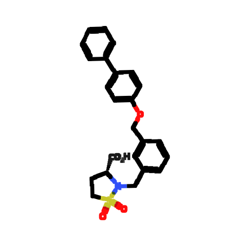 O=C(O)[C@H]1CCS(=O)(=O)N1Cc1cccc(COc2ccc(-c3ccccc3)cc2)c1